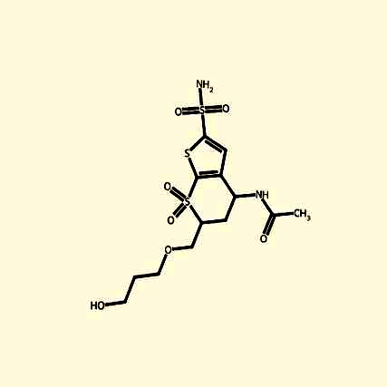 CC(=O)NC1CC(COCCCO)S(=O)(=O)c2sc(S(N)(=O)=O)cc21